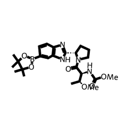 COC(=O)N[C@H](C(=O)N1CCC[C@H]1c1nc2ccc(B3OC(C)(C)C(C)(C)O3)cc2[nH]1)[C@@H](C)OC